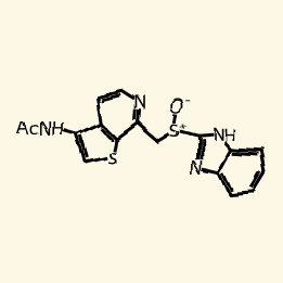 CC(=O)Nc1csc2c(C[S+]([O-])c3nc4ccccc4[nH]3)nccc12